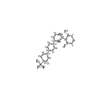 Fc1cccc(F)c1-c1nccc(-c2ccc(-c3ccc(C(F)(F)F)cc3)cc2)n1